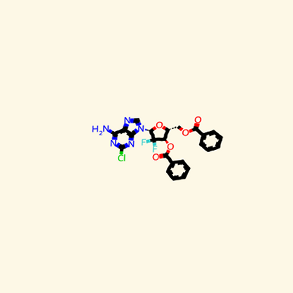 Nc1nc(Cl)nc2c1ncn2[C@@H]1O[C@H](COC(=O)c2ccccc2)[C@@H](OC(=O)c2ccccc2)C1(F)F